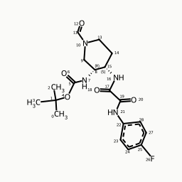 CC(C)(C)OC(=O)N[C@@H]1CN(C=O)CC[C@@H]1NC(=O)C(=O)Nc1ccc(F)cc1